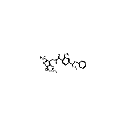 COc1c(CNC(=O)c2ccc(C(C)Oc3ccccc3)cc2C)c(C)nn1C